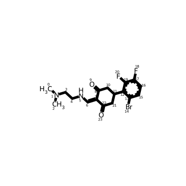 CN(C)CCNC=C1C(=O)CC(c2c(Br)ccc(F)c2F)CC1=O